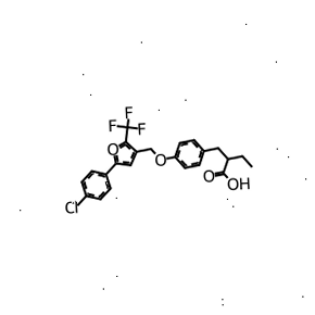 CCC(Cc1ccc(OCc2cc(-c3ccc(Cl)cc3)oc2C(F)(F)F)cc1)C(=O)O